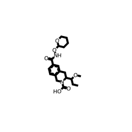 CCC(OC)C1Cc2cc(C(=O)NOC3CCCCO3)ccc2CN1C(=O)O